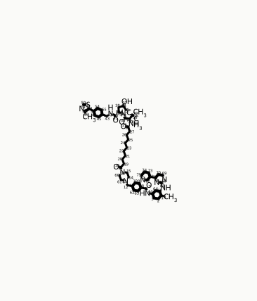 Cc1ccc(NC(=O)c2ccc(CN3CCN(C(=O)CCCCCCCCCC(=O)N[C@H](C(=O)N4C[C@H](O)C[C@H]4C(=O)NCc4ccc(-c5scnc5C)cc4)C(C)(C)C)CC3)cc2)cc1Nc1nccc(-c2cccnc2)n1